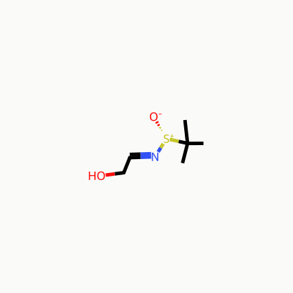 CC(C)(C)[S@@+]([O-])/N=C/CO